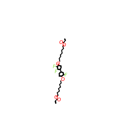 C=CC(=O)OCCCCCCCCOc1ccc(-c2ccc(OCCCCCCCCOC(=O)C=C)c(F)c2F)cc1F